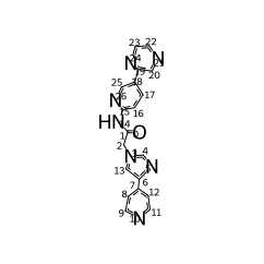 O=C(Cn1cnc(-c2ccncc2)c1)Nc1ccc(-c2cnccn2)cn1